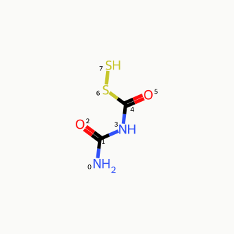 NC(=O)NC(=O)SS